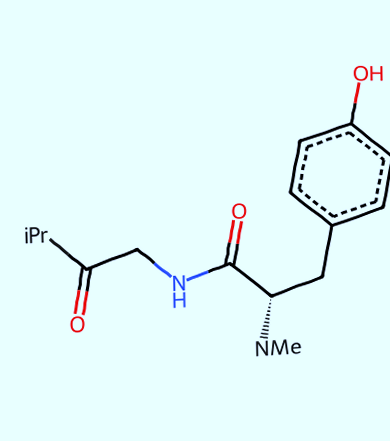 CN[C@@H](Cc1ccc(O)cc1)C(=O)NCC(=O)C(C)C